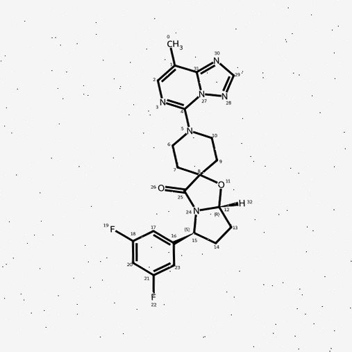 Cc1cnc(N2CCC3(CC2)O[C@@H]2CC[C@@H](c4cc(F)cc(F)c4)N2C3=O)n2ncnc12